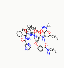 CCC[C@H](NC(=O)[C@@H]1C[C@@H](Oc2cccc(C(=O)NC)c2)CN1C(=O)[C@@H](NC(=O)[C@@H](NC(=O)c1cnccn1)C1CCCCC1)C(C)(C)C)C(=O)C(=O)NC1CC1